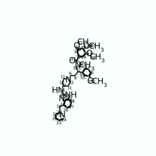 COc1cccc(C(CCN2CCC(Nc3nc4c(Cc5ccccn5)cccc4[nH]3)CC2)CN(C)C(=O)c2cc(OC)c(OC)c(OC)c2)c1